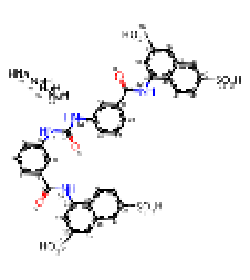 O=C(Nc1cccc(C(=O)Nc2cc(S(=O)(=O)O)cc3cc(S(=O)(=O)O)ccc23)c1)Nc1cccc(C(=O)Nc2cc(S(=O)(=O)O)cc3cc(S(=O)(=O)O)ccc23)c1.[NaH].[NaH].[NaH].[NaH]